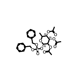 CC(=O)OC1[C@H](OP(=O)(OCc2ccccc2)OCc2ccccc2)OC(C)[C@H](OC(C)=O)[C@@H]1OC(C)=O